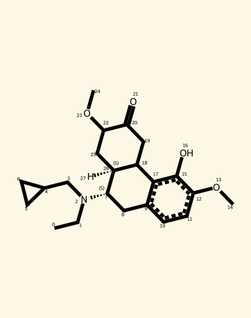 CCN(CC1CC1)[C@H]1Cc2ccc(OC)c(O)c2C2CC(=O)C(OC)C[C@@H]21